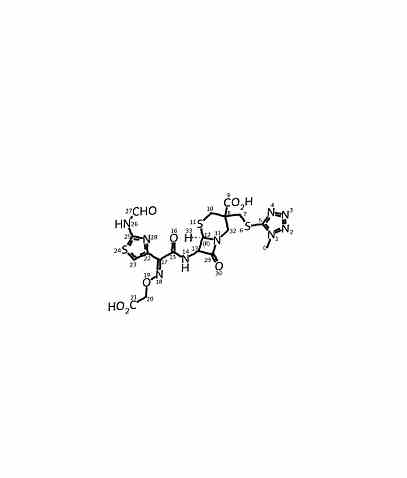 Cn1nnnc1SCC1(C(=O)O)CS[C@@H]2C(NC(=O)C(=NOCC(=O)O)c3csc(NC=O)n3)C(=O)N2C1